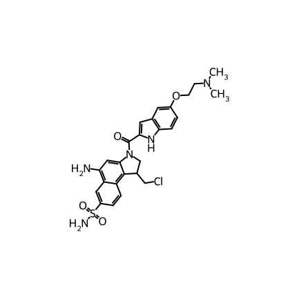 CN(C)CCOc1ccc2[nH]c(C(=O)N3CC(CCl)c4c3cc(N)c3cc(S(N)(=O)=O)ccc43)cc2c1